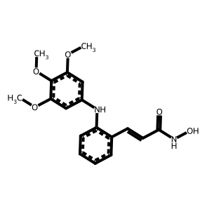 COc1cc(Nc2ccccc2/C=C/C(=O)NO)cc(OC)c1OC